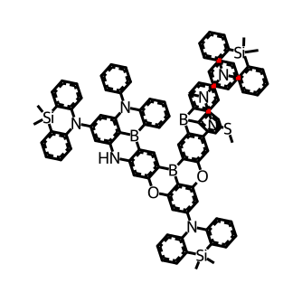 CSN1c2cc3c(cc2B2c4ccccc4N(c4ccccc4)c4cc(N5c6ccccc6[Si](C)(C)c6ccccc65)cc1c42)B1c2cc4c(cc2Oc2cc(N5c6ccccc6[Si](C)(C)c6ccccc65)cc(c21)O3)Nc1cc(N2c3ccccc3[Si](C)(C)c3ccccc32)cc2c1B4c1ccccc1N2c1ccccc1